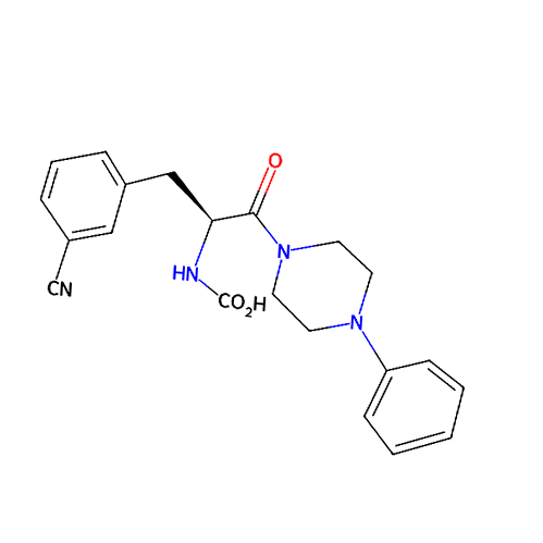 N#Cc1cccc(C[C@H](NC(=O)O)C(=O)N2CCN(c3ccccc3)CC2)c1